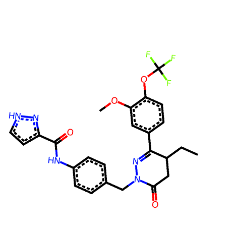 CCC1CC(=O)N(Cc2ccc(NC(=O)c3cc[nH]n3)cc2)N=C1c1ccc(OC(F)(F)F)c(OC)c1